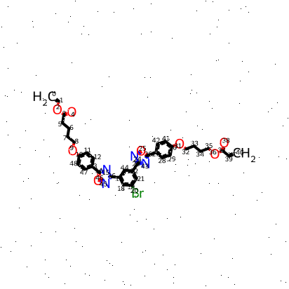 C=COC(=O)CCCCOc1ccc(-c2nc(-c3cc(Br)cc(-c4noc(-c5ccc(OCCCCOC(=O)C=C)cc5)n4)c3)no2)cc1